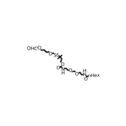 CCCCCCC(=O)NCCOCCOCCNC(=O)OCCC(C)(C)SSCOCCCCOC=O